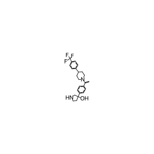 C=C(c1ccc(C2(O)CCNC2)cc1)N1CCC(c2ccc(C(F)(F)F)cc2)CC1